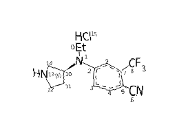 CCN(c1ccc(C#N)c(C(F)(F)F)c1)[C@H]1CCNC1.Cl